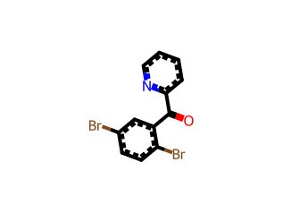 O=C(c1ccccn1)c1cc(Br)ccc1Br